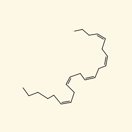 [CH2]CC/C=C\C/C=C\C/C=C\C/C=C\C/C=C\CCCCC